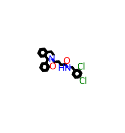 O=C(CCC(=O)N1CCc2ccccc2C1c1ccccc1)NCc1ccc(Cl)cc1Cl